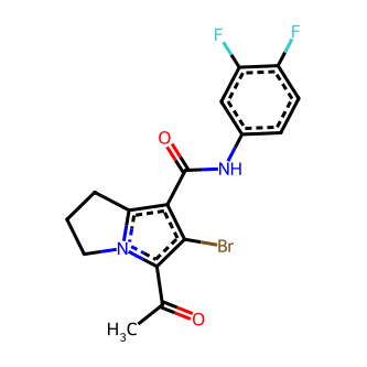 CC(=O)c1c(Br)c(C(=O)Nc2ccc(F)c(F)c2)c2n1CCC2